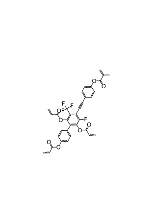 C=CC(=O)Oc1ccc(-c2c(OC(=O)C=C)c(F)c(C#Cc3ccc(OC(=O)C(=C)C)cc3)c(C(F)(F)F)c2OC(=O)C=C)cc1